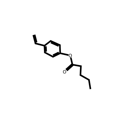 C=Cc1ccc(OC(=O)CCCC)cc1